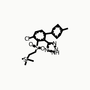 Cc1ccc(-c2ccc(Cl)c(S(=O)(=O)CC[Si](C)(C)C)c2-c2nn[nH]n2)cc1